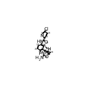 NC1=N[C@@](CF)(c2cc(NC(=O)c3ccc(Cl)cn3)ccc2F)[C@@H]2C[C@@H]2O1